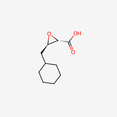 O=C(O)[C@H]1O[C@@H]1CC1CCCCC1